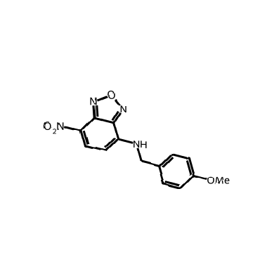 COc1ccc(CNc2ccc([N+](=O)[O-])c3nonc23)cc1